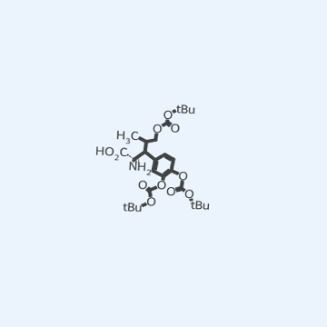 CC(COC(=O)OC(C)(C)C)C(c1ccc(OC(=O)OC(C)(C)C)c(OC(=O)OC(C)(C)C)c1)[C@H](N)C(=O)O